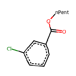 CCCCCOC(=O)c1cccc(Cl)c1